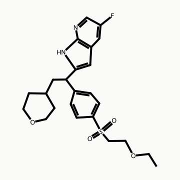 CCOCCS(=O)(=O)c1ccc(C(CC2CCOCC2)c2cc3cc(F)cnc3[nH]2)cc1